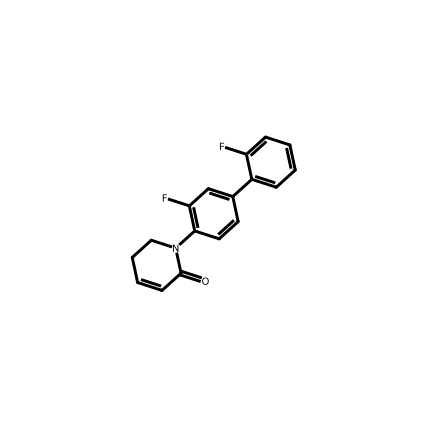 O=C1C=CCCN1c1ccc(-c2ccccc2F)cc1F